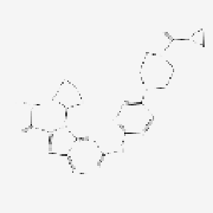 C=C(/N=C1\C(=C/N)C=C(C(=O)N(C)C)N1C1CCCC1)Nc1ccc(N2CCN(C(=O)C3CC3)CC2)cn1